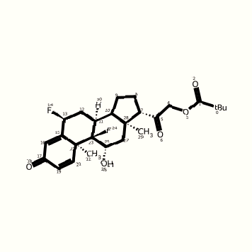 CC(C)(C)C(=O)OCC(=O)[C@H]1CCC2[C@@H]3C[C@H](F)C4=CC(=O)C=C[C@]4(C)[C@@]3(F)[C@@H](O)C[C@@]21C